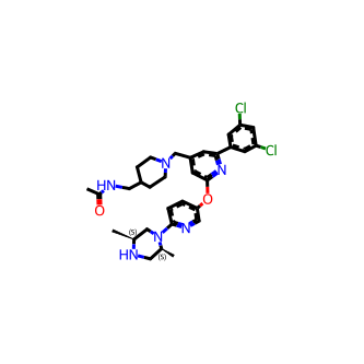 CC(=O)NCC1CCN(Cc2cc(Oc3ccc(N4C[C@H](C)NC[C@@H]4C)nc3)nc(-c3cc(Cl)cc(Cl)c3)c2)CC1